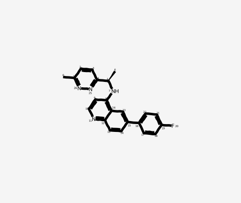 Cc1ccc([C@@H](C)Nc2ccnc3ccc(-c4ccc(F)cc4)cc23)nn1